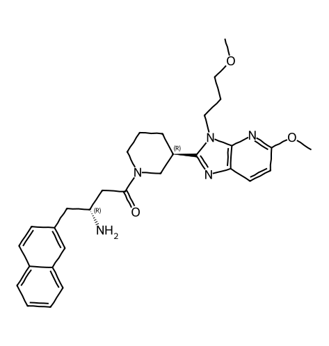 COCCCn1c([C@@H]2CCCN(C(=O)C[C@H](N)Cc3ccc4ccccc4c3)C2)nc2ccc(OC)nc21